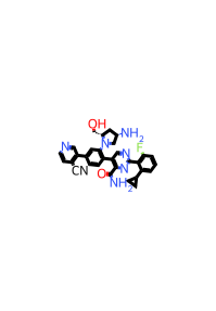 N#Cc1ccncc1-c1ccc(-c2cnc(-c3c(F)cccc3C3CC3)nc2C(N)=O)c(N2C[C@@H](N)C[C@H]2CO)c1